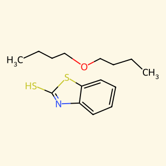 CCCCOCCCC.Sc1nc2ccccc2s1